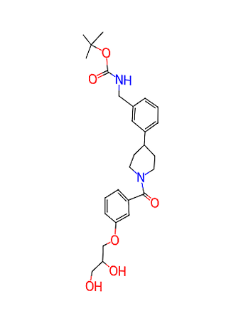 CC(C)(C)OC(=O)NCc1cccc(C2CCN(C(=O)c3cccc(OCC(O)CO)c3)CC2)c1